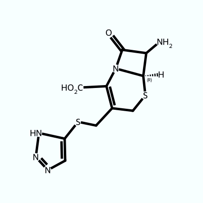 NC1C(=O)N2C(C(=O)O)=C(CSc3cnn[nH]3)CS[C@H]12